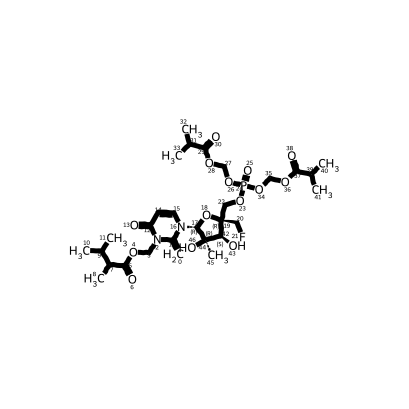 C=C1N(COC(=O)C(C)C(C)C)C(=O)C=CN1[C@@H]1O[C@](CF)(COP(=O)(OCOC(=O)C(C)C)OCOC(=O)C(C)C)[C@@H](O)[C@@]1(C)O